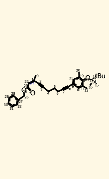 C/C(C#CCCCC#Cc1cc(C)c(O[Si](C)(C)C(C)(C)C)c(C)c1)=C/C(=O)OCc1ccccc1